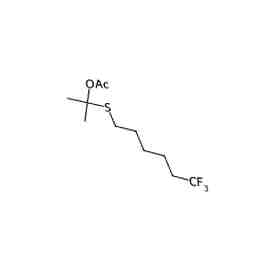 CC(=O)OC(C)(C)SCCCCCC(F)(F)F